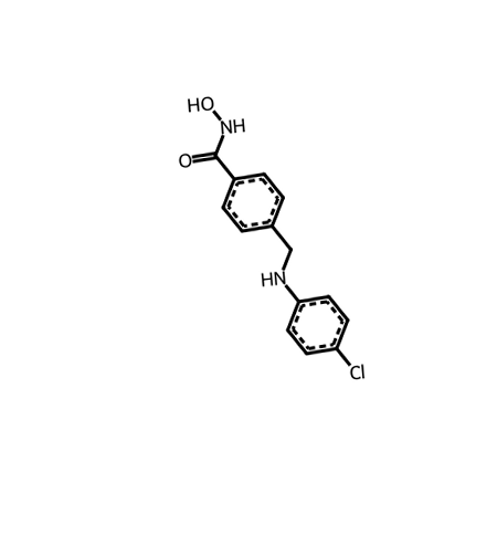 O=C(NO)c1ccc(CNc2ccc(Cl)cc2)cc1